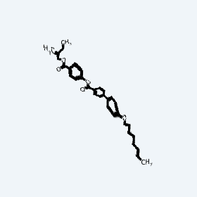 CCCCCCCCOc1ccc(-c2ccc(C(=O)Oc3ccc(C(=O)OCC(C)CC)cc3)cc2)cc1